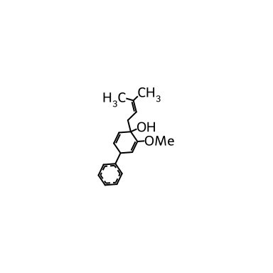 COC1=CC(c2ccccc2)C=CC1(O)CC=C(C)C